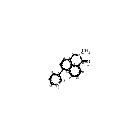 CN1Cc2ccc(-c3cccnc3)c3cccc(c23)C1=O